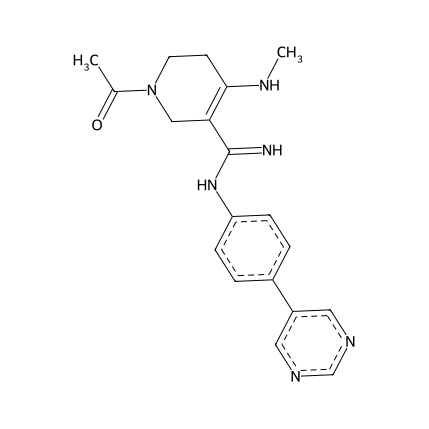 CNC1=C(C(=N)Nc2ccc(-c3cncnc3)cc2)CN(C(C)=O)CC1